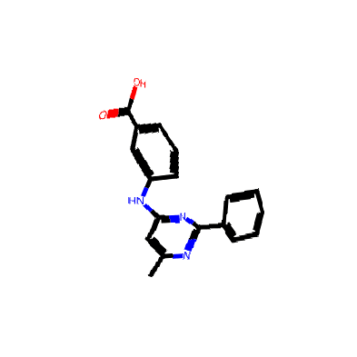 Cc1cc(Nc2cccc(C(=O)O)c2)nc(-c2ccccc2)n1